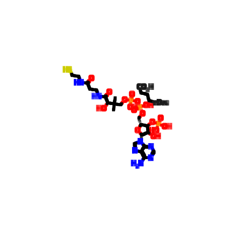 CC(C)(COP(=O)(O)OP(=O)(O)OC[C@H]1O[C@@H](n2cnc3c(N)ncnc32)[C@H](O)[C@@H]1OP(=O)(O)O)[C@@H](O)C(=O)NCCC(=O)NCCS.CCCCCCCCCCCCCC(=O)O